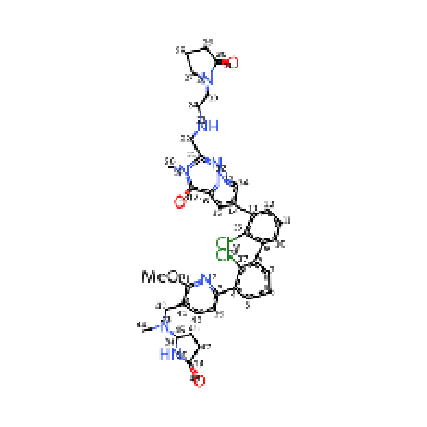 COc1nc(-c2cccc(-c3cccc(-c4cc5c(=O)n(C)c(CNCCN6CCCC6=O)nn5c4)c3Cl)c2Cl)ccc1CN(C)[C@H]1CCC(=O)N1